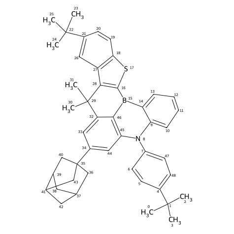 CC(C)(C)c1ccc(N2c3ccccc3B3c4sc5ccc(C(C)(C)C)cc5c4C(C)(C)c4cc(C56CC7CC(C5)C(C7)C6)cc2c43)cc1